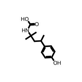 CC(CC(C)(C)NC(=O)O)c1ccc(O)cc1